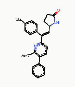 COc1nc(C(=C[C@H]2CCC(=O)N2)c2ccc(C(C)(C)C)cc2)ccc1-c1ccccc1